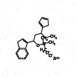 CCC(CC(O[Si](C)(C)C)C1=CCc2ccccc21)C1=CC=CC1.[Cl-].[Cl-].[Zr+2]